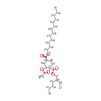 C=CC(=O)OC1(C(=O)OCC(CC)CCCC)CCC(C(=O)OCCCCCCCCCCCCC)CC1